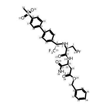 CC(C)C[C@H](N[C@@H](c1ccc(-c2ccc(S(C)(=O)=O)cc2)cc1)C(F)(F)F)C(=O)N[C@@H](CC(=O)OCc1ccccc1)C(N)=O